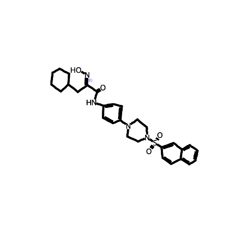 O=C(Nc1ccc(N2CCN(S(=O)(=O)c3ccc4ccccc4c3)CC2)cc1)/C(CC1CCCCC1)=N/O